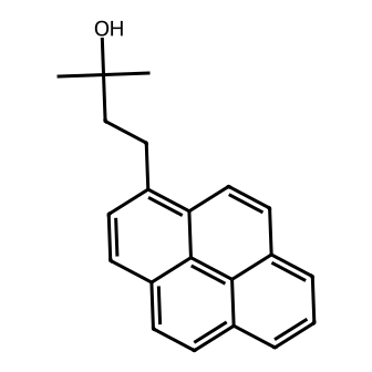 CC(C)(O)CCc1ccc2ccc3cccc4ccc1c2c34